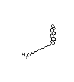 CCCCCCCCCCCCCCc1cc2c(ccc3c2ccc2c4ccc5occc5c4ccc32)o1